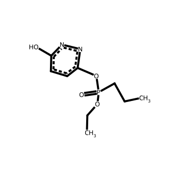 CCCP(=O)(OCC)Oc1ccc(O)nn1